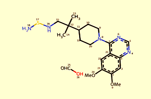 COc1cc2ncnc(N3CCC(C(C)(C)CNSN)CC3)c2cc1OC.O=CO